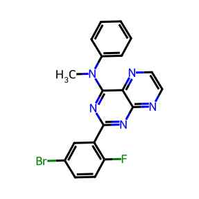 CN(c1ccccc1)c1nc(-c2cc(Br)ccc2F)nc2nccnc12